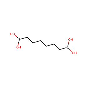 OB(O)CCCCCCB(O)O